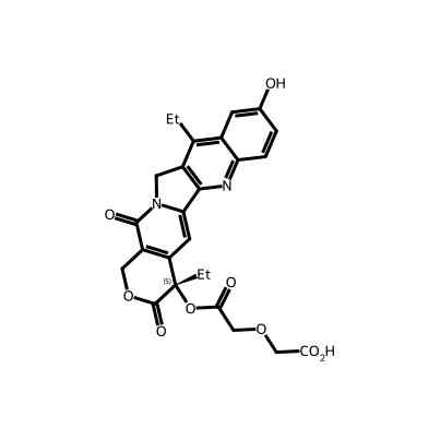 CCc1c2c(nc3ccc(O)cc13)-c1cc3c(c(=O)n1C2)COC(=O)[C@@]3(CC)OC(=O)COCC(=O)O